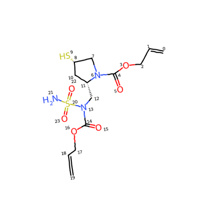 C=CCOC(=O)N1C[C@@H](S)C[C@H]1CN(C(=O)OCC=C)S(N)(=O)=O